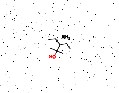 CCC(CC)C(C)(C)O.[AlH3]